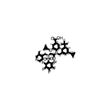 Cc1cnccc1CN(CC(=O)N(Cc1cc(C2CC2)cc(C(C)(C)C)c1)c1ccc(C(=O)O)cc1OC1CC1)S(=O)(=O)c1c(F)c(F)c(F)c(F)c1Br